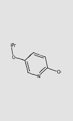 CC(C)Oc1ccc([O])nc1